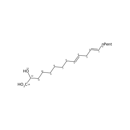 CCCCCC=CCC=CCCCCCCC(O)C(=O)O